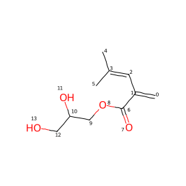 C=C(C=C(C)C)C(=O)OCC(O)CO